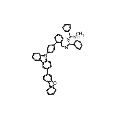 CN/C(=N\C(=N/Cc1ccccc1-c1ccc(-n2c3ccccc3c3cc(-c4ccc5c(c4)oc4ccccc45)ccc32)cc1)c1ccccc1)c1ccccc1